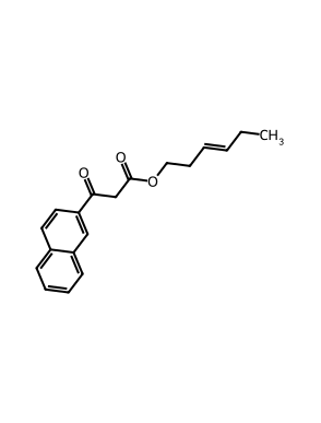 CCC=CCCOC(=O)CC(=O)c1ccc2ccccc2c1